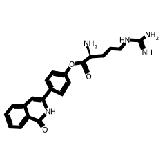 N=C(N)NCCC[C@H](N)C(=O)Oc1ccc(-c2cc3ccccc3c(=O)[nH]2)cc1